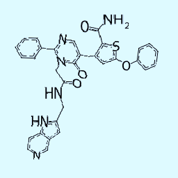 NC(=O)c1sc(Oc2ccccc2)cc1-c1cnc(-c2ccccc2)n(CC(=O)NCc2cc3cnccc3[nH]2)c1=O